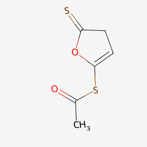 CC(=O)SC1=CCC(=S)O1